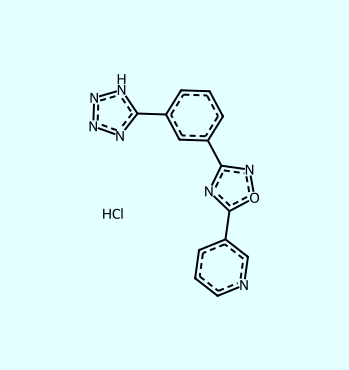 Cl.c1cc(-c2noc(-c3cccnc3)n2)cc(-c2nnn[nH]2)c1